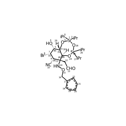 CC(C)[Si]1(C(C)C)O[C@H]2[C@@H](O)[C@@H](Br)[C@@H](C#N)[C@@](CC=O)(NOCc3ccccc3)[C@@H]2O[Si](C(C)C)(C(C)C)O1